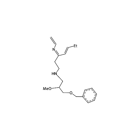 C=C/N=C(\C=CCC)CCNCC(COCc1ccccc1)OC